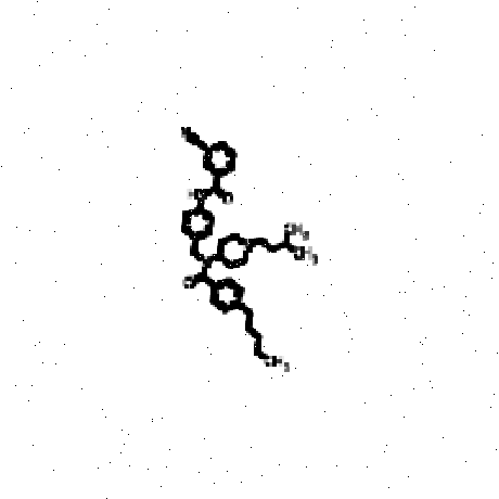 CCCCCc1ccc(C(=O)N(Cc2ccc(NC(=O)c3cccc(C#N)c3)cc2)C2CCN(CCC(C)C)CC2)cc1